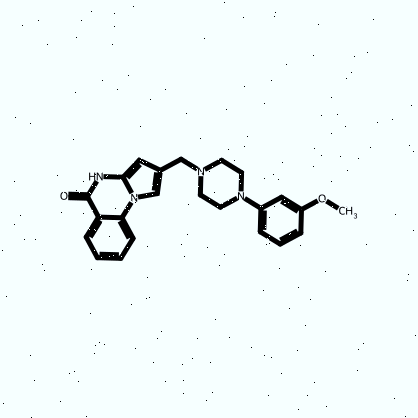 COc1cccc(N2CCN(Cc3cc4[nH]c(=O)c5ccccc5n4c3)CC2)c1